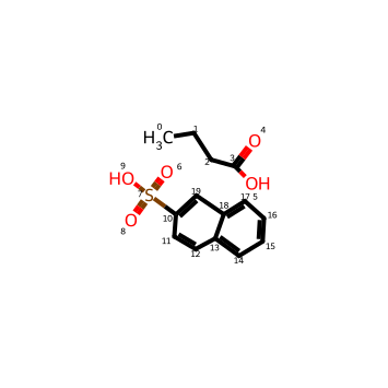 CCCC(=O)O.O=S(=O)(O)c1ccc2ccccc2c1